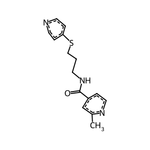 Cc1cc(C(=O)NCCCSc2ccncc2)ccn1